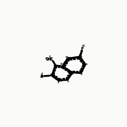 O=Cc1c(Br)ccc2ccc(F)cc12